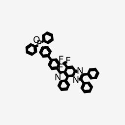 O=P(c1ccccc1)(c1ccccc1)c1ccc(-c2ccc(-c3nc4ccccc4c4c3c(C(F)(F)F)cc3nc(-c5ccccc5)c(-c5ccccc5)nc34)cc2)cc1